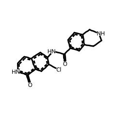 O=C(Nc1cc2cc[nH]c(=O)c2cc1Cl)c1ccc2c(c1)CCNC2